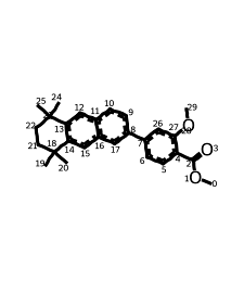 COC(=O)c1ccc(-c2ccc3cc4c(cc3c2)C(C)(C)CCC4(C)C)cc1OC